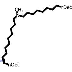 CCCCCCCC/C=C\CCCCCCCCN(C)CCCCCCCCCCCCCCCCCC